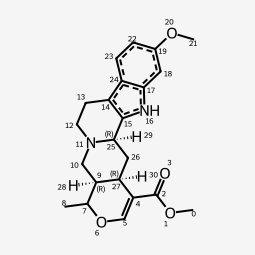 COC(=O)C1=COC(C)[C@H]2CN3CCc4c([nH]c5cc(OC)ccc45)[C@H]3C[C@@H]12